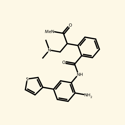 CNC(=O)C(CN(C)C)c1ccccc1C(=O)Nc1cc(-c2ccsc2)ccc1N